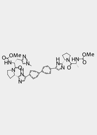 COC(=O)N[C@H](C)C(=O)N1CCC[C@H]1c1ncc(-c2ccc(-c3ccc(-c4cnc([C@@H]5CCCN5C(=O)[C@@H](Cc5cn(C)cn5)NC(=O)OC)[nH]4)cc3)cc2)[nH]1